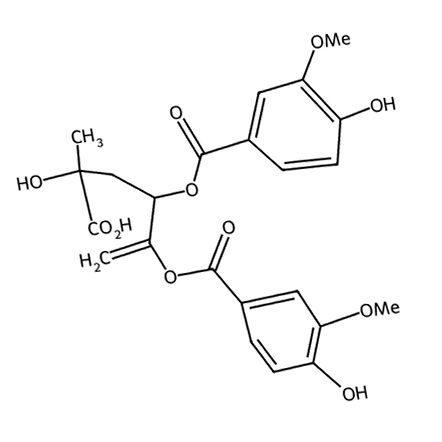 C=C(OC(=O)c1ccc(O)c(OC)c1)C(CC(C)(O)C(=O)O)OC(=O)c1ccc(O)c(OC)c1